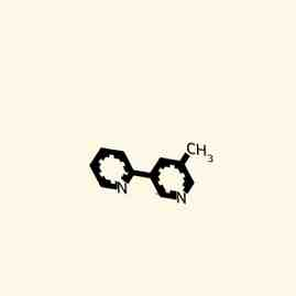 Cc1cn[c]c(-c2ccccn2)c1